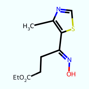 CCOC(=O)CCC(=NO)c1scnc1C